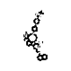 Cc1nn(C)c2c1-c1cccc3c(CCCOc4cccc5ccccc45)c(C(=O)O)n(c13)CCCN(c1ccc(N3CCN(C(=O)OC(C)(C)C)CC3)cc1)C2